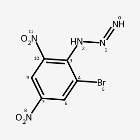 N=NNc1c(Br)cc([N+](=O)[O-])cc1[N+](=O)[O-]